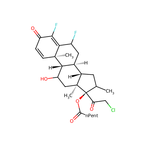 CCCCCC(=O)O[C@]1(C(=O)CCl)C(C)C[C@H]2[C@@H]3CC(F)C4=C(F)C(=O)C=C[C@]4(C)[C@H]3C(O)C[C@@]21C